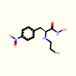 CCCN[C@@H](Cc1ccc([N+](=O)[O-])cc1)C(=O)NO